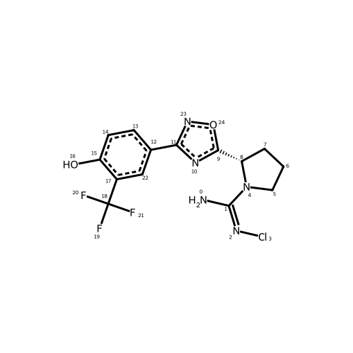 N/C(=N/Cl)N1CCC[C@H]1c1nc(-c2ccc(O)c(C(F)(F)F)c2)no1